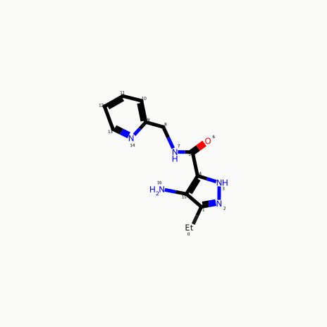 CCc1n[nH]c(C(=O)NCc2ccccn2)c1N